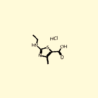 CCNc1nc(C)c(C(=O)O)s1.Cl